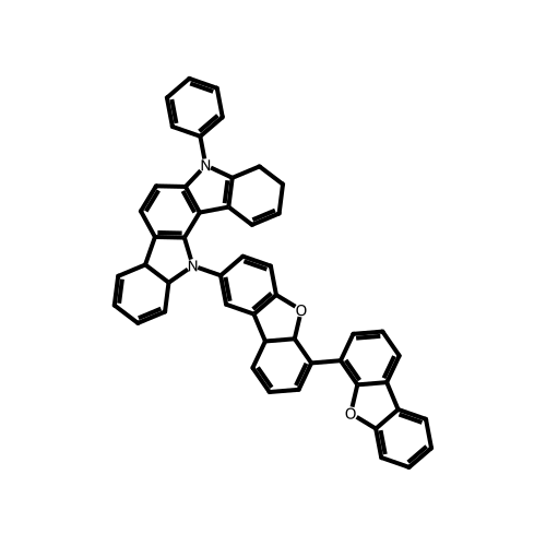 C1=CC2c3cc(N4c5c(ccc6c5c5c(n6-c6ccccc6)CCC=C5)C5C=CC=CC54)ccc3OC2C(c2cccc3c2oc2ccccc23)=C1